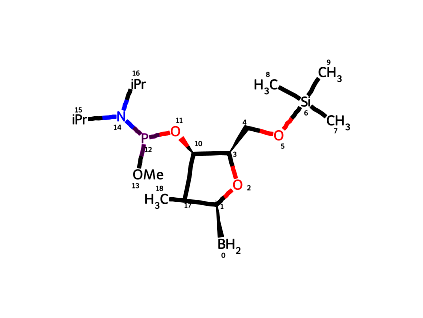 B[C@@H]1O[C@H](CO[Si](C)(C)C)[C@H](OP(OC)N(C(C)C)C(C)C)C1C